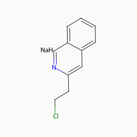 ClCCc1cc2ccccc2cn1.[NaH]